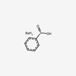 O=S(O)c1ccccc1.[BaH2]